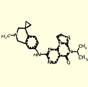 CC(C)n1c(=O)c2cnc(Nc3ccc4c(c3)CN(C)CC43CC3)nc2n2ccnc12